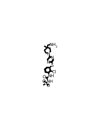 CC1(CN)CCN(c2cnc(Sc3cccc(NC(=O)NS(C)(=O)=O)c3Cl)cn2)CC1